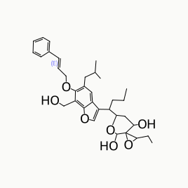 CCCC(c1coc2c(CO)c(OC/C=C/c3ccccc3)c(CC(C)C)cc12)C1CC(O)C2(OC2CC)C(O)O1